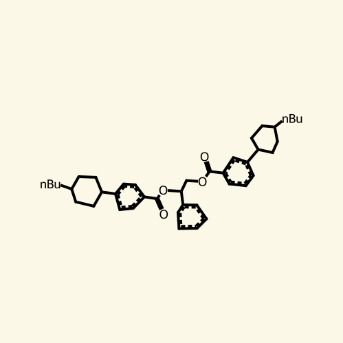 CCCCC1CCC(c2ccc(C(=O)OC(COC(=O)c3cccc(C4CCC(CCCC)CC4)c3)c3ccccc3)cc2)CC1